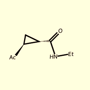 CCNC(=O)[C@H]1C[C@@H]1C(C)=O